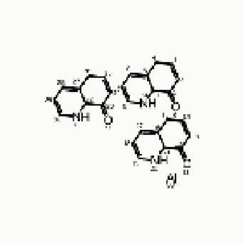 O=C1C=CCC2=CC=CNC12.O=C1C=CCC2=CC=CNC12.O=C1C=CCC2=CC=CNC12.[Al]